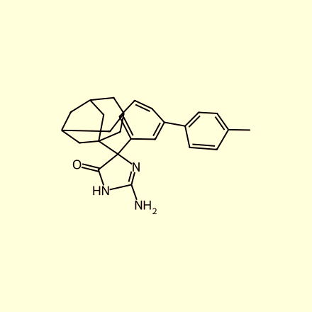 Cc1ccc(-c2cccc(C3(C45CC6CC(CC(C6)C4)C5)N=C(N)NC3=O)c2)cc1